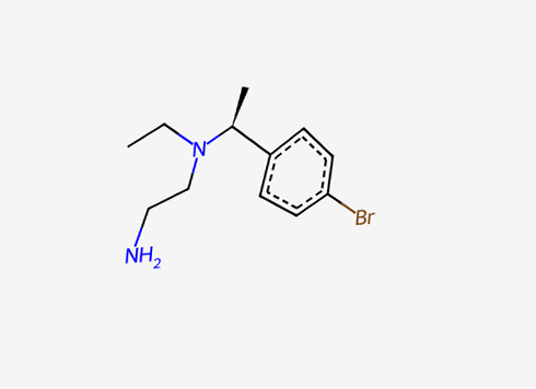 CCN(CCN)[C@@H](C)c1ccc(Br)cc1